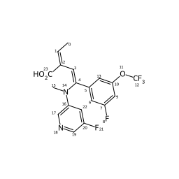 C/C=C(\C=C(\c1cc(F)cc(OC(F)(F)F)c1)N(C)c1cncc(F)c1)C(=O)O